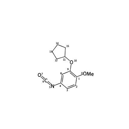 COc1ccc(N=C=O)cc1OC1CCCC1